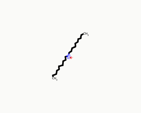 CCCCCCCCCC[NH+]([O-])CCCCCCCCCC